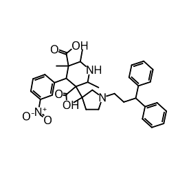 CC1NC(C)C(C(=O)O)(C2(C)CCN(CCC(c3ccccc3)c3ccccc3)C2)C(c2cccc([N+](=O)[O-])c2)C1(C)C(=O)O